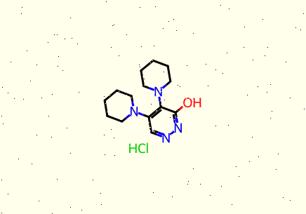 Cl.Oc1nncc(N2CCCCC2)c1N1CCCCC1